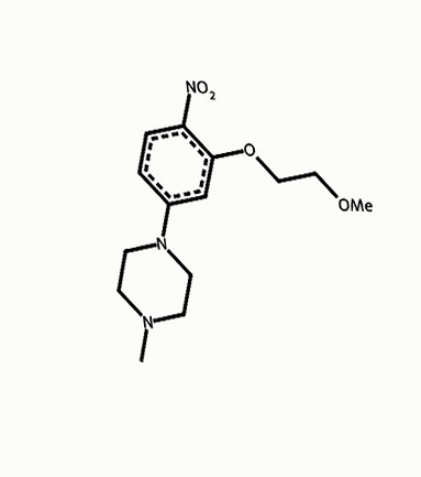 COCCOc1cc(N2CCN(C)CC2)ccc1[N+](=O)[O-]